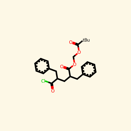 CC(C)(C)C(=O)OCOC(=O)C(Cc1ccccc1)CC(Cc1ccccc1)C(=O)Cl